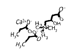 CCC(=O)[O-].CCC(=O)[O-].C[N+](C)(C)CC(O)CC(=O)[O-].[Ca+2]